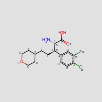 N[C@H](C(=O)O)[C@H](CCC1CCOCC1)c1ccc(Cl)c(F)c1